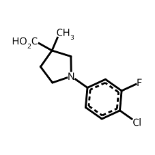 CC1(C(=O)O)CCN(c2ccc(Cl)c(F)c2)C1